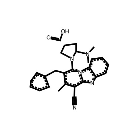 Cc1c(Cc2ccccc2)c(N2CCCC2N(C)C)n2c(nc3ccccc32)c1C#N.O=CO